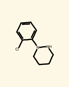 Clc1ccccc1N1CCCCN1